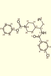 CC(C)CC(NC(=O)c1ccc(Cl)cc1)C1CCN(C(=O)Oc2ccccc2)CC1